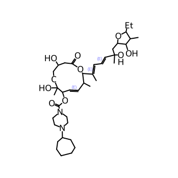 CCC1OC(CC(C)(O)/C=C/C=C(\C)C2OC(=O)CC(O)CCC(C)(O)C(OC(=O)N3CCN(C4CCCCCC4)CC3)/C=C/C2C)C(O)C1C